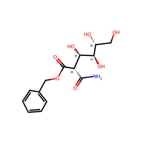 NC(=O)[C@H](C(=O)OCc1ccccc1)[C@@H](O)[C@H](O)[C@H](O)CO